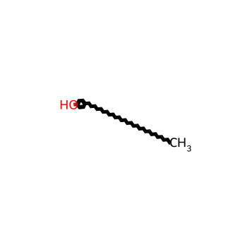 CCCCCCCCCCCCCCCCCCCCCCCCCCCCCc1ccc(O)cc1